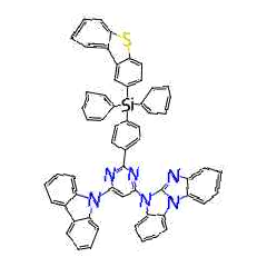 c1ccc([Si](c2ccccc2)(c2ccc(-c3nc(-n4c5ccccc5c5ccccc54)cc(-n4c5ccccc5n5c6ccccc6nc45)n3)cc2)c2ccc3sc4ccccc4c3c2)cc1